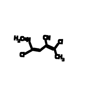 C=N/C(Cl)=C\C(C#N)=C(/C)Cl